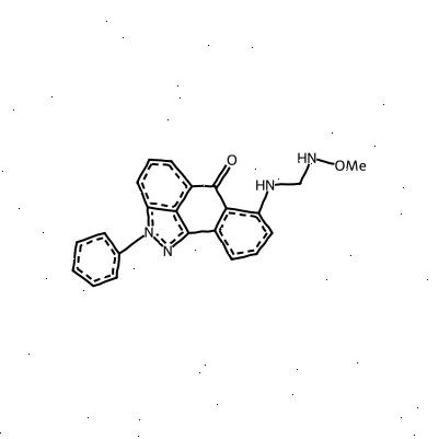 CONCNc1cccc2c1C(=O)c1cccc3c1c-2nn3-c1ccccc1